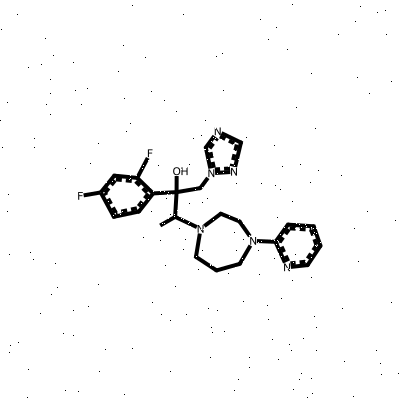 CC(N1CCCN(c2ccccn2)CC1)C(O)(Cn1cncn1)c1ccc(F)cc1F